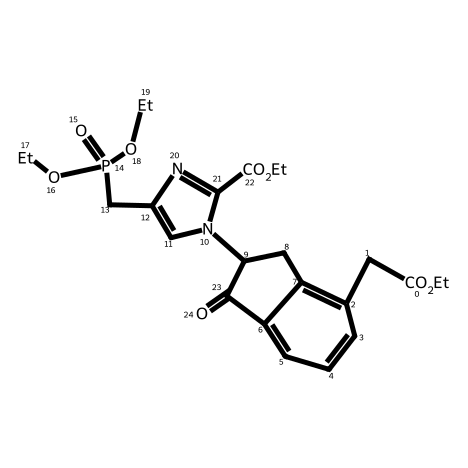 CCOC(=O)Cc1cccc2c1CC(n1cc(CP(=O)(OCC)OCC)nc1C(=O)OCC)C2=O